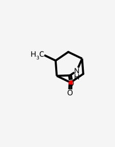 CC1CC2CC(=O)C1C(=O)N2